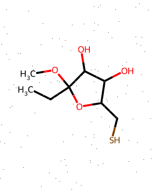 CCC1(OC)OC(CS)C(O)C1O